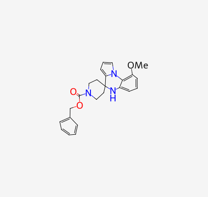 COc1cccc2c1-n1cccc1C1(CCN(C(=O)OCc3ccccc3)CC1)N2